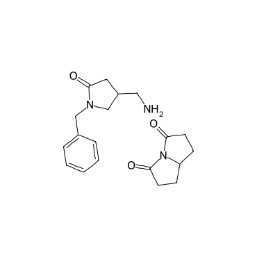 NCC1CC(=O)N(Cc2ccccc2)C1.O=C1CCC2CCC(=O)N12